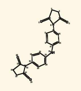 O=C1CCC(=O)N1c1ccc(Nc2ccc(N3C(=O)CCC3=O)cc2)cc1